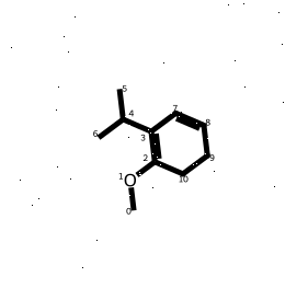 COC1=C(C(C)C)C=CCC1